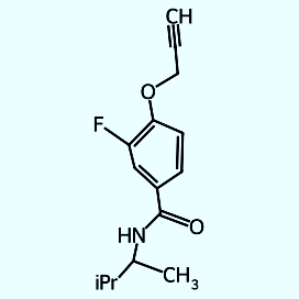 C#CCOc1ccc(C(=O)NC(C)C(C)C)cc1F